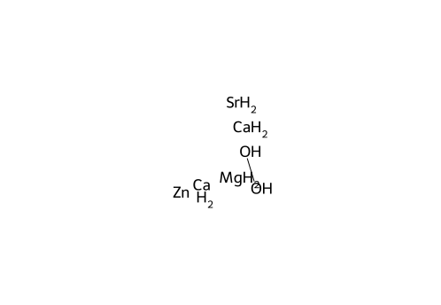 OO.[CaH2].[CaH2].[MgH2].[SrH2].[Zn]